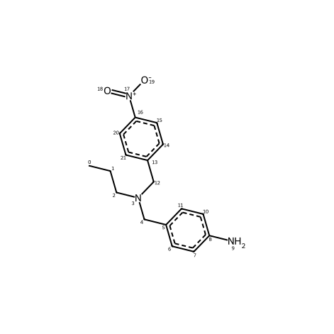 CCCN(Cc1ccc(N)cc1)Cc1ccc([N+](=O)[O-])cc1